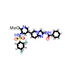 COc1ncc(-c2ccc3nc(NC(=O)c4ccccc4)cn3c2)cc1NS(=O)(=O)c1ccc(F)cc1F